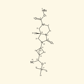 CCCCOC(=O)N1CCN2C(=O)N(C34CC(C(C#N)O[Si](C)(C)C)(C3)C4)C[C@@H]2C1